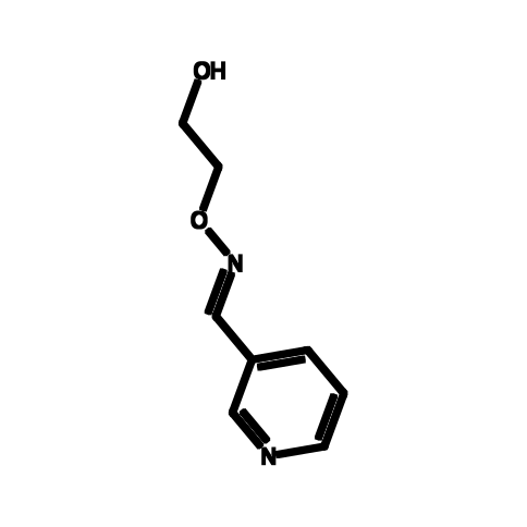 OCCON=Cc1cccnc1